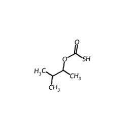 CC(C)C(C)OC(=O)S